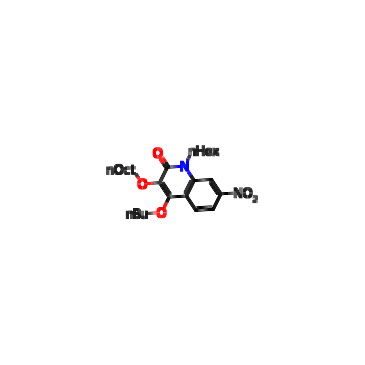 CCCCCCCCOc1c(OCCCC)c2ccc([N+](=O)[O-])cc2n(CCCCCC)c1=O